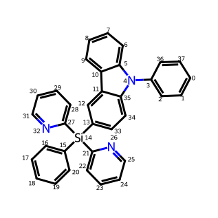 c1ccc(-n2c3ccccc3c3cc([Si](c4ccccc4)(c4ccccn4)c4ccccn4)ccc32)cc1